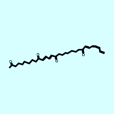 C=CC=C=C/C=C/C(=O)CCCCCCCC(=O)/C=C/C=C/C(=O)CCCCCCCC(C)=O